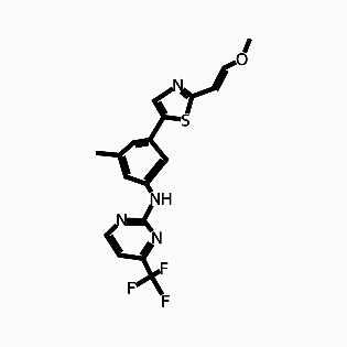 CO/C=C/c1ncc(-c2cc(C)cc(Nc3nccc(C(F)(F)F)n3)c2)s1